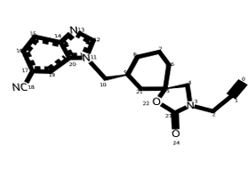 C#CCN1C[C@@]2(CCC[C@H](Cn3cnc4ccc(C#N)cc43)C2)OC1=O